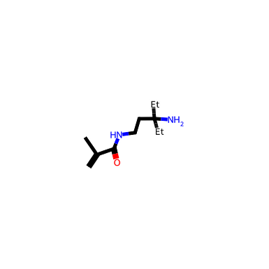 C=C(C)C(=O)NCCC(N)(CC)CC